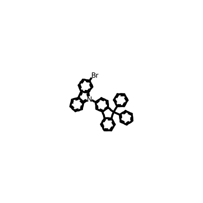 Brc1ccc2c3ccccc3n(-c3ccc4c(c3)-c3ccccc3C4(c3ccccc3)c3ccccc3)c2c1